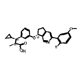 COc1ccc(F)c(-c2cc3c(cn2)[C@H](Oc2cccc([C@H](C4CC4)[C@H](C)C(=O)O)c2)CC3)c1